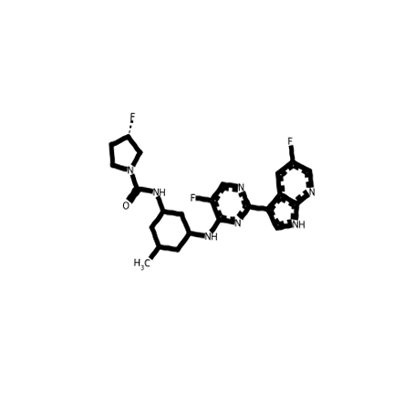 CC1CC(NC(=O)N2CC[C@H](F)C2)CC(Nc2nc(-c3c[nH]c4ncc(F)cc34)ncc2F)C1